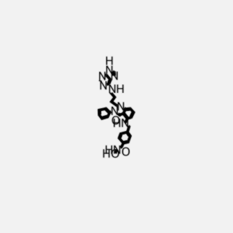 O=C(NO)c1ccc(CNc2cccc3nc(CCCNc4ncnc5[nH]cnc45)n(-c4ccccc4)c(=O)c23)cc1